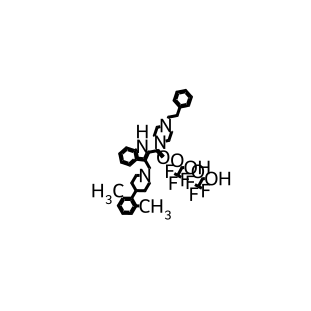 Cc1cccc(C)c1C1CCN(Cc2c(C(=O)N3CCN(CCc4ccccc4)CC3)[nH]c3ccccc23)CC1.O=C(O)C(F)(F)F.O=C(O)C(F)(F)F